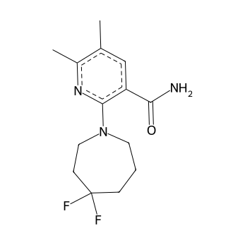 Cc1cc(C(N)=O)c(N2CCCC(F)(F)CC2)nc1C